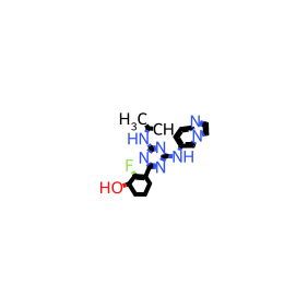 CC(C)Nc1nc(Nc2ccc3nccn3c2)nc(C2=C(F)C(O)CCC2)n1